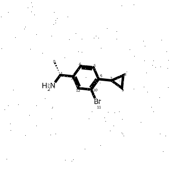 C[C@@H](N)c1ccc(C2CC2)c(Br)c1